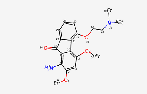 CCCOc1cc(OCC)c(N)c2c1-c1c(OCCN(CC)CC)cccc1C2=O